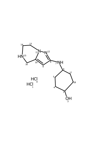 Cl.Cl.OC1CCC(Nc2cc3n(n2)CCNC3)CC1